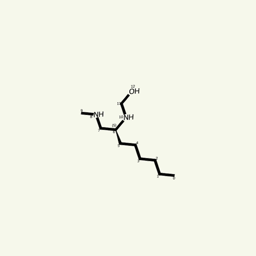 CCCCCC[C@@H](CNC)NCO